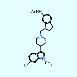 CC(=O)Nc1ccc2c(c1)C(CN1CCC(c3cn(C)c4cc(Cl)ccc34)CC1)CC2